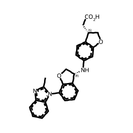 Cc1nc2ccccc2n1-c1cccc2c1OC[C@@H]2Nc1ccc2c(c1)OC[C@H]2CC(=O)O